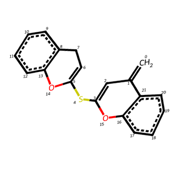 C=C1C=C(SC2=CCc3ccccc3O2)Oc2ccccc21